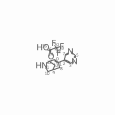 C1=C(c2cncnc2)CC2CNC1C2.O=C(O)C(F)(F)F